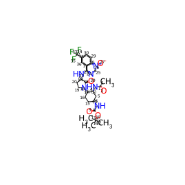 CC(=O)N[C@H]1C[C@H](NC(=O)OC(C)(C)C)CC[C@@H]1N1CC[C@H](Nc2nc[n+]([O-])c3ccc(C(F)(F)F)cc23)C1=O